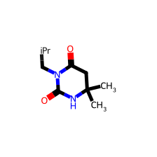 CC(C)CN1C(=O)CC(C)(C)NC1=O